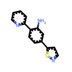 Nc1cc(-c2ccns2)ccc1-c1ccccn1